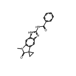 CN1C(=O)C2(CC2)c2cc3nc(NC(=O)c4ccccc4)[nH]c3cc21